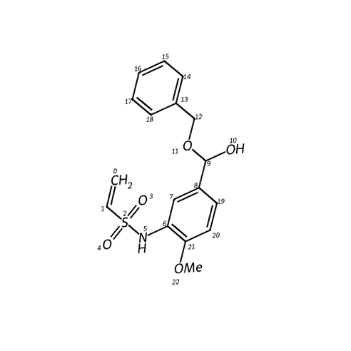 C=CS(=O)(=O)Nc1cc(C(O)OCc2ccccc2)ccc1OC